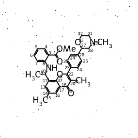 COC(=O)c1ccccc1N[C@H](C)c1cc(C)cc2c(=O)c(C)c(-c3ccc(C4CN(C)CCO4)cc3)oc12